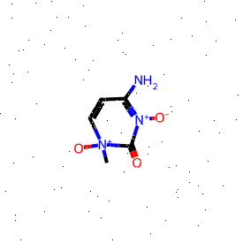 C[N+]1([O-])C=CC(N)=[N+]([O-])C1=O